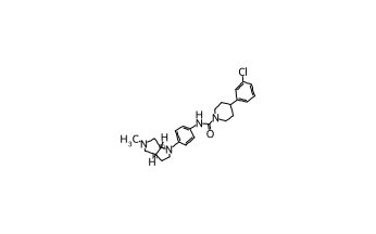 CN1C[C@H]2CCN(c3ccc(NC(=O)N4CCC(c5cccc(Cl)c5)CC4)cc3)[C@H]2C1